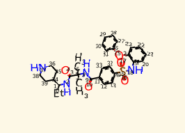 CCC(NC(=O)C(C)(C)NC(=O)c1ccc(S(=O)(=O)Nc2ccccc2Oc2ccccc2)cc1)C1CCNCC1